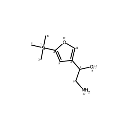 C[Si](C)(C)c1cc(C(O)CN)co1